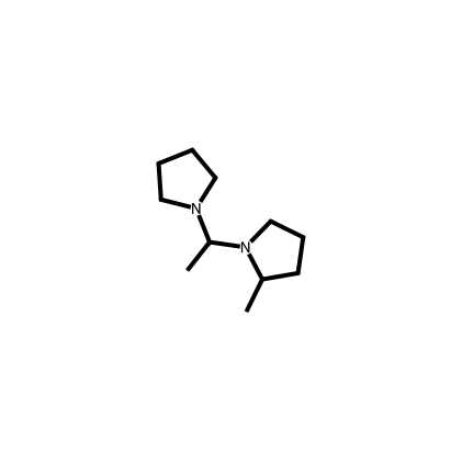 C[C](N1CCCC1)N1CCCC1C